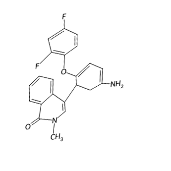 Cn1cc(C2CC(N)=CC=C2Oc2ccc(F)cc2F)c2ccccc2c1=O